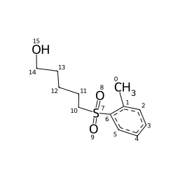 Cc1ccccc1S(=O)(=O)CCCCCO